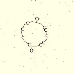 [O]C1CCCCCCCCC([O])CCCCCCCC1